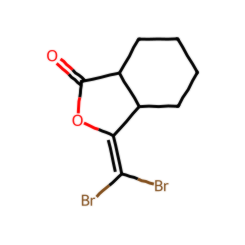 O=C1OC(=C(Br)Br)C2CCCCC12